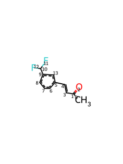 CC(=O)/C=C/c1cccc(C(F)F)c1